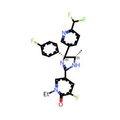 CCn1cc(C2=N[C@@](c3ccc(F)cc3)(c3ccc(C(F)F)nc3)[C@H](C)N2)cc(F)c1=O